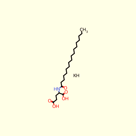 CCCCCCCCCCCCCCCCCC(=O)NC(CCC(=O)O)C(=O)O.[KH]